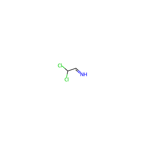 N=CC(Cl)Cl